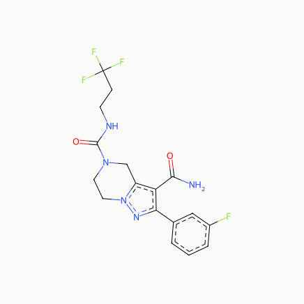 NC(=O)c1c(-c2cccc(F)c2)nn2c1CN(C(=O)NCCC(F)(F)F)CC2